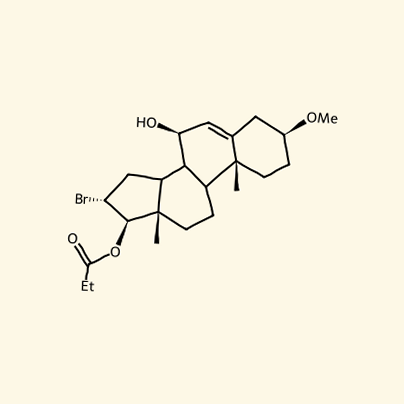 CCC(=O)O[C@H]1[C@H](Br)CC2C3C(CC[C@@]21C)[C@@]1(C)CC[C@H](OC)CC1=C[C@@H]3O